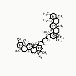 C[C@@H]1[C@H]2[C@H]3CC[C@@H]4[C@]5(C)[C@@H](CC[C@@]4(C)[C@]3(C)CC[C@@]2(C)CC[C@H]1C)C(C)(C)CCC5(OC(=O)CC(=O)OC1(C(=O)O)CCC(C)(C)[C@@H]2CC[C@]3(C)[C@H](CC[C@@H]4[C@@H]5[C@@H](C)[C@H](C)CC[C@]5(C)CC[C@]43C)[C@]21C)C(=O)O